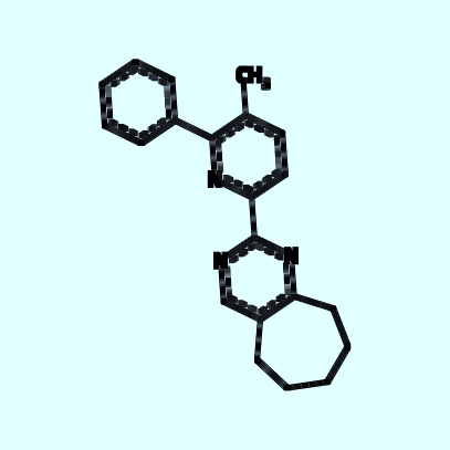 Cc1ccc(-c2ncc3c(n2)CCCCC3)nc1-c1ccccc1